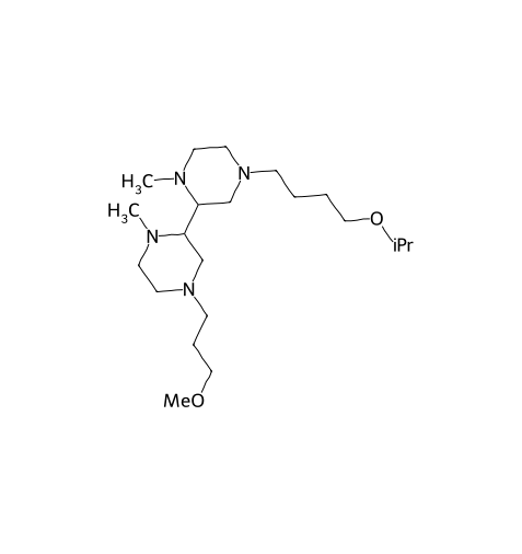 COCCCN1CCN(C)C(C2CN(CCCCOC(C)C)CCN2C)C1